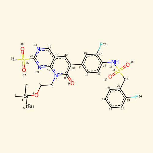 CC(C)(C)[Si](C)(C)OCCn1c(=O)c(-c2ccc(NS(=O)(=O)Cc3ccccc3F)c(F)c2)cc2cnc(S(C)(=O)=O)nc21